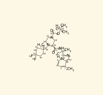 Cc1cccn2c(C(C)(C)NC(=O)[C@@H]3CN(C(=O)OC(C)(C)C)CCN3CC3(C)CCC(F)(F)CC3)ncc12